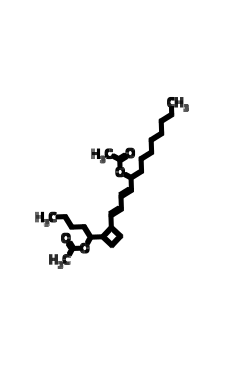 CCCCCCCCC(/C=C/C=C/C1CCC1C(CCCC)OC(C)=O)OC(C)=O